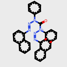 O=C(N(N=Nc1cccc2ccccc12)c1ccccc1)[N+](N=Nc1cccc2ccccc12)c1ccccc1